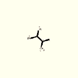 CC(C)C(C(C)C)C(C)C(F)(F)F